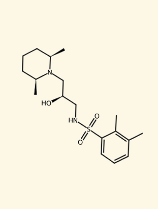 Cc1cccc(S(=O)(=O)NC[C@@H](O)CN2[C@H](C)CCC[C@@H]2C)c1C